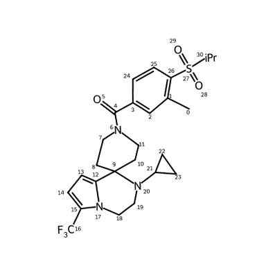 Cc1cc(C(=O)N2CCC3(CC2)c2ccc(C(F)(F)F)n2CCN3C2CC2)ccc1S(=O)(=O)C(C)C